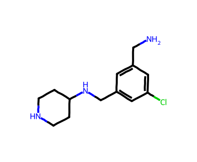 NCc1cc(Cl)cc(CNC2CCNCC2)c1